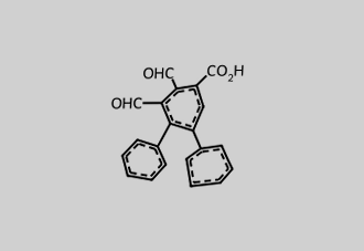 O=Cc1c(C(=O)O)cc(-c2ccccc2)c(-c2ccccc2)c1C=O